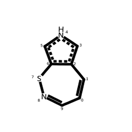 C1=Cc2c[nH]cc2SN=C1